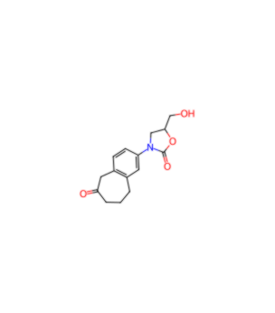 O=C1CCCc2cc(N3CC(CO)OC3=O)ccc2C1